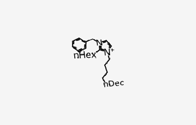 CCCCCCCCCCCCCC[n+]1ccn(Cc2ccccc2)c1CCCCCC